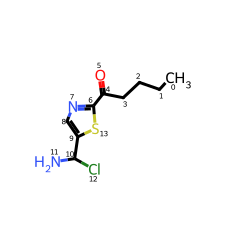 CCCCC(=O)c1ncc(C(N)Cl)s1